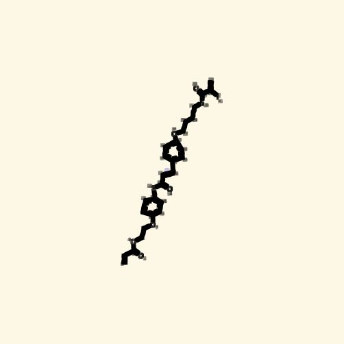 C=CC(=O)OCCOc1ccc(SC(=O)/C=C/c2ccc(OCCCCSC(=O)C(=C)F)cc2)cc1